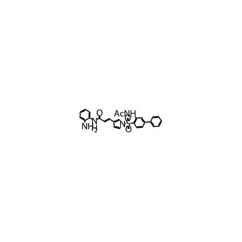 CC(=O)Nc1cc(-c2ccccc2)ccc1S(=O)(=O)n1ccc(/C=C/C(=O)Nc2ccccc2N)c1